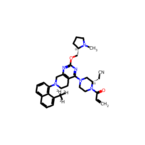 [2H]C([2H])([2H])c1cccc2cccc(N3CCc4c(nc(OC[C@@H]5CCCN5C)nc4N4CCN(C(=O)C=C)[C@@H](CC#N)C4)C3)c12